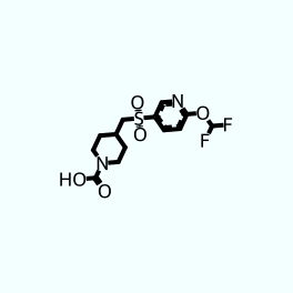 O=C(O)N1CCC(CS(=O)(=O)c2ccc(OC(F)F)nc2)CC1